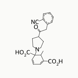 CC1C(C(=O)O)=CC=CC1(C(=O)O)N1CCC(C(=O)Cc2ccccc2C#N)CC1